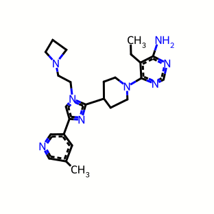 CCc1c(N)ncnc1N1CCC(c2nc(-c3cncc(C)c3)cn2CCN2CCC2)CC1